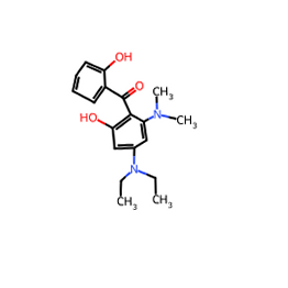 CCN(CC)c1cc(O)c(C(=O)c2ccccc2O)c(N(C)C)c1